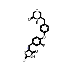 CN1C(=O)COCC1Cc1ccc(Oc2ccc(/C=C3/SC(=O)NC3=O)cc2F)cc1